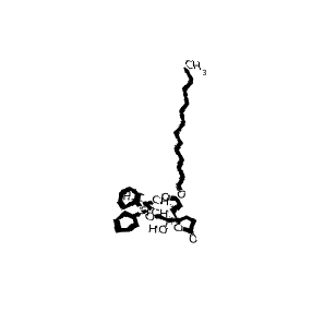 CCCCCCCCCCCCCCOC(=O)C=C[C@@]1([C@H](O)CO[Si](c2ccccc2)(c2ccccc2)C(C)(C)C)CCC(=O)O1